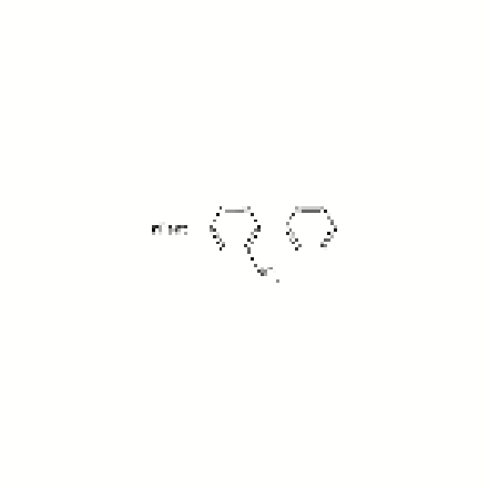 CCCCCc1ccc(-c2ccccc2)c([N+](=O)[O-])c1